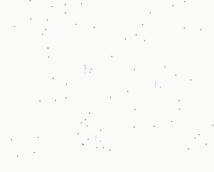 CC1=C/Cc2ccccc2N(c2cc(C#N)cc(C#N)c2)C/C=C\1C